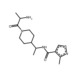 Cc1nscc1C(=O)NC(C)C1CCN(C(=O)C(C)N)CC1